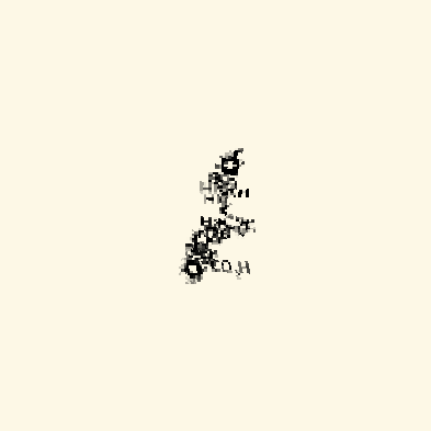 Cc1ccc(S(=O)(=O)NC(=N)NCCC[C@H](NC(=O)CN2CCN(S(=O)(=O)c3ccccc3)[C@H](CCC(=O)O)C2=O)C(=O)c2nccs2)cc1